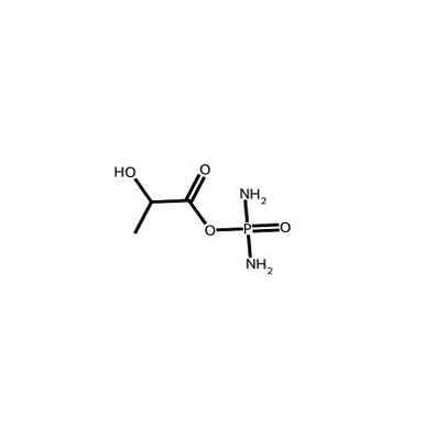 CC(O)C(=O)OP(N)(N)=O